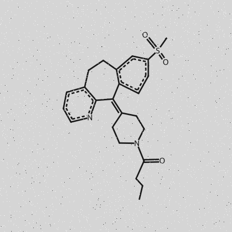 CCCC(=O)N1CCC(=C2c3ccc(S(C)(=O)=O)cc3CCc3cccnc32)CC1